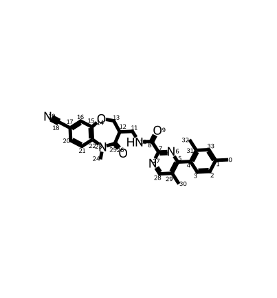 Cc1ccc(-c2nc(C(=O)NCC3COc4cc(C#N)ccc4N(C)C3=O)ncc2C)c(C)c1